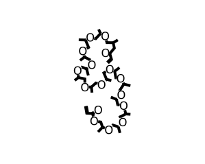 C=CC(=O)CC(C)COC(C)COC(C)COC(C)COC(C)COC(C)COC(C)COC(C)COC(C)COC(C)COC(C)COC(C)COC(C)COC(C)COC(=O)C=C